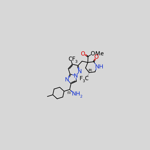 COC(=O)C1(Cc2nn3cc([C@@H](N)C4CCC(C)CC4)nc3cc2C(F)(F)F)C[C@@H](C(F)(F)F)CNC1=O